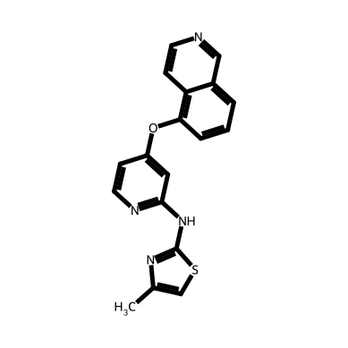 Cc1csc(Nc2cc(Oc3cccc4cnccc34)ccn2)n1